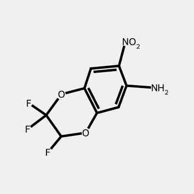 Nc1cc2c(cc1[N+](=O)[O-])OC(F)(F)C(F)O2